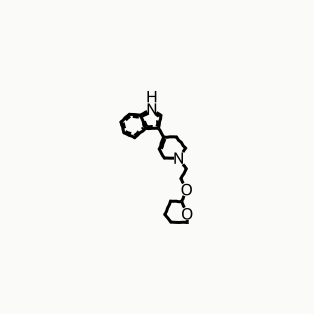 C1=C(c2c[nH]c3ccccc23)CCN(CCOC2CCCCO2)C1